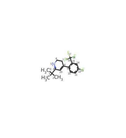 CC(C)(C)C1=NCCC(c2ccc(F)cc2C(F)(F)F)=C1